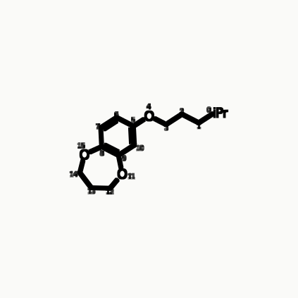 CC(C)CCCOc1ccc2c(c1)OCCCO2